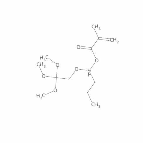 C=C(C)C(=O)O[SiH](CCC)OCC(OC)(OC)OC